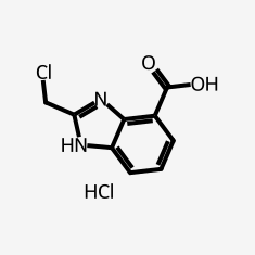 Cl.O=C(O)c1cccc2[nH]c(CCl)nc12